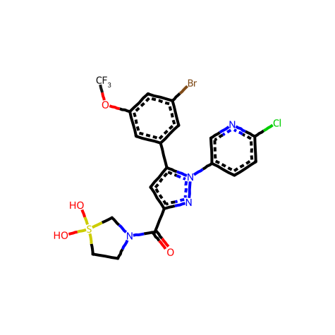 O=C(c1cc(-c2cc(Br)cc(OC(F)(F)F)c2)n(-c2ccc(Cl)nc2)n1)N1CCS(O)(O)C1